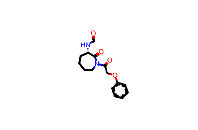 O=CN[C@H]1CCCCN(C(=O)COc2ccccc2)C1=O